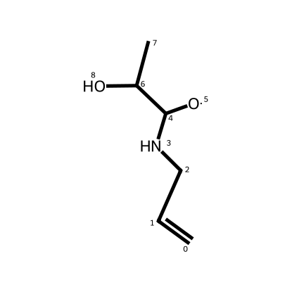 C=CCNC([O])C(C)O